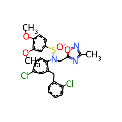 COc1ccc([S+]([O-])N(Cc2nc(C)no2)c2ccc(Cl)cc2Cc2ccccc2Cl)cc1OC